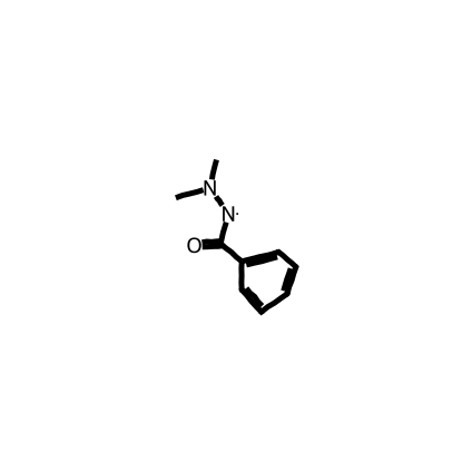 CN(C)[N]C(=O)c1ccccc1